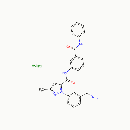 Cl.Cl.NCc1cccc(-n2nc(C(F)(F)F)cc2C(=O)Nc2cccc(C(=O)Nc3ccccc3)c2)c1